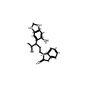 CC(Br)C(CCN1C(=O)Cc2ccccc21)c1cc2c(cc1O)OCO2